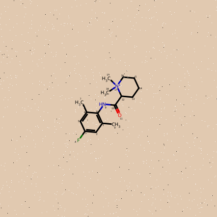 Cc1cc(F)cc(C)c1NC(=O)C1CCCC[N+]1(C)C